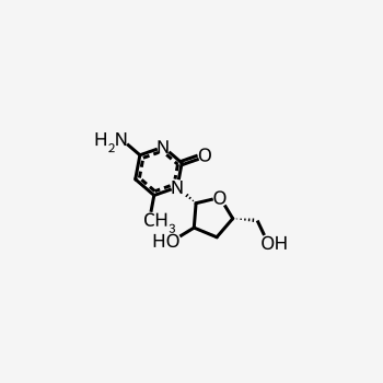 Cc1cc(N)nc(=O)n1[C@@H]1O[C@H](CO)CC1O